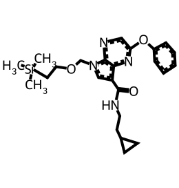 C[Si](C)(C)CCOCn1cc(C(=O)NCCC2CC2)c2nc(Oc3ccccc3)cnc21